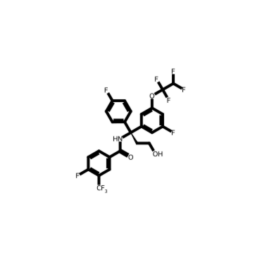 O=C(N[C@](CCO)(c1ccc(F)cc1)c1cc(F)cc(OC(F)(F)C(F)F)c1)c1ccc(F)c(C(F)(F)F)c1